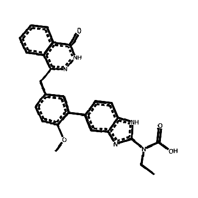 CCN(C(=O)O)c1nc2cc(-c3cc(Cc4n[nH]c(=O)c5ccccc45)ccc3OC)ccc2[nH]1